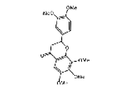 COc1ccc(C2CC(=O)c3cc(OC)c(OC)c(OC)c3O2)cc1OC